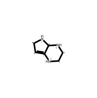 C1=C2NCCNC2NC1